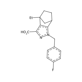 CCC12CCC(C1)c1c2c(C(=O)O)nn1Cc1ccc(F)cc1